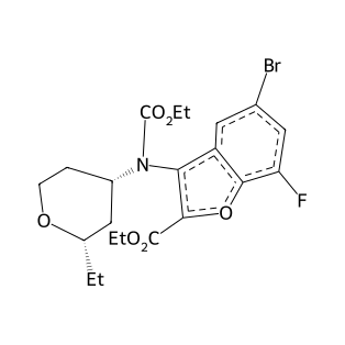 CCOC(=O)c1oc2c(F)cc(Br)cc2c1N(C(=O)OCC)[C@H]1CCO[C@@H](CC)C1